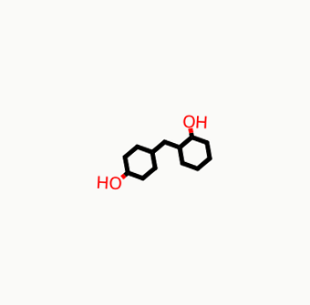 OC1CCC(CC2CCCCC2O)CC1